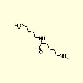 CCCCCNC([C]=O)CCCCN